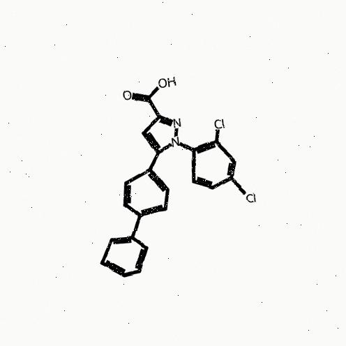 O=C(O)c1cc(-c2ccc(-c3ccccc3)cc2)n(-c2ccc(Cl)cc2Cl)n1